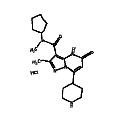 Cc1nn2c(C3CCNCC3)cc(=O)[nH]c2c1C(=O)N(C)C1CCCC1.Cl